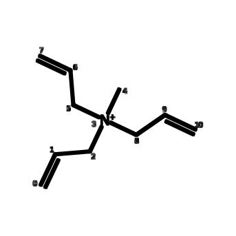 C=CC[N+](C)(CC=C)CC=C